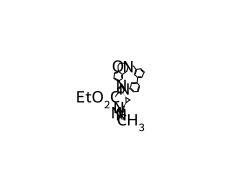 CCOC(=O)c1cnn(-c2cccc(-c3cccc(CN4CCOc5ccccc5C4)c3)c2)c1[C@@H]1C[C@H]1c1cn(C)nn1